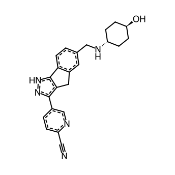 N#Cc1ccc(-c2n[nH]c3c2Cc2cc(CN[C@H]4CC[C@H](O)CC4)ccc2-3)cn1